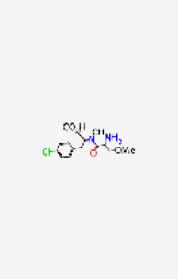 COCC(N)C(=O)N(C)C(CC(=O)O)Cc1ccc(Cl)cc1